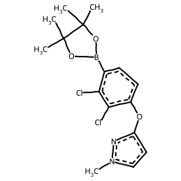 Cn1ccc(Oc2ccc(B3OC(C)(C)C(C)(C)O3)c(Cl)c2Cl)n1